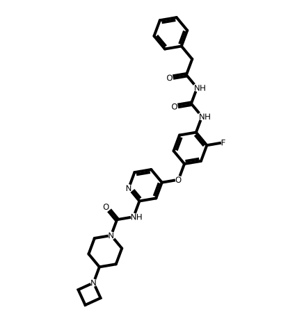 O=C(Cc1ccccc1)NC(=O)Nc1ccc(Oc2ccnc(NC(=O)N3CCC(N4CCC4)CC3)c2)cc1F